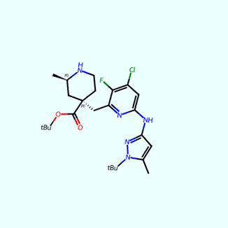 Cc1cc(Nc2cc(Cl)c(F)c(C[C@@]3(C(=O)OC(C)(C)C)CCN[C@H](C)C3)n2)nn1C(C)(C)C